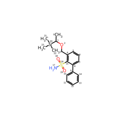 CC(OCc1cccc(-c2ccccc2)c1S(N)(=O)=O)[Si](C)(C)C